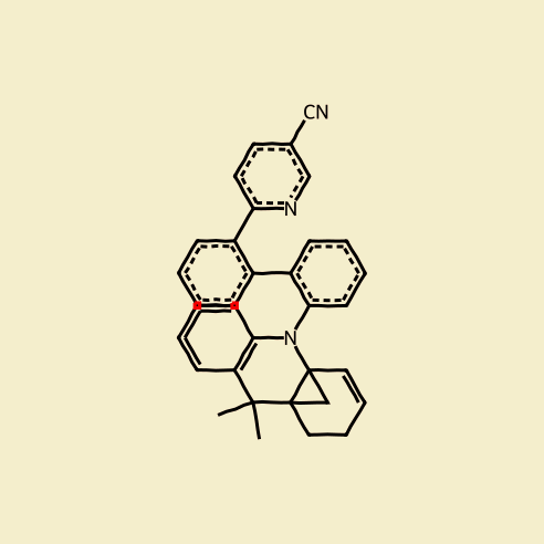 CC1(C)C2=C(C=C=C=C2)N(c2ccccc2-c2ccccc2-c2ccc(C#N)cn2)C23C=CCCC12C3